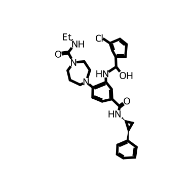 CCNC(=O)N1CCCN(c2ccc(C(=O)N[C@@H]3C[C@H]3c3ccccc3)cc2NC(O)c2cccc(Cl)c2)CC1